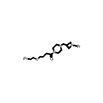 CC(C)CCOCCCC(=O)N1CCN(CC2CN(C(C)C)C2)CC1